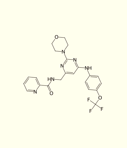 O=C(NCc1cc(Nc2ccc(OC(F)(F)F)cc2)nc(N2CCOCC2)n1)c1ccccn1